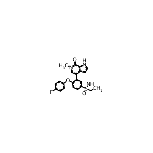 CCS(=N)(=O)c1ccc(Oc2ccc(F)cc2)c(-c2cn(C)c(=O)c3[nH]ccc23)c1